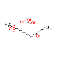 CCCCCC[C@@H](O)C/C=C\CCCCCCCC(=O)OC(C)=O.OCC(O)CO